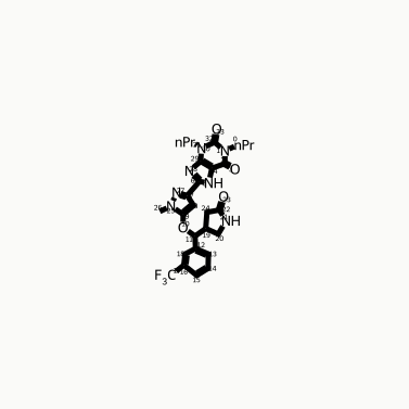 CCCn1c(=O)c2[nH]c(-c3cc(OC(c4cccc(C(F)(F)F)c4)C4CNC(=O)C4)n(C)n3)nc2n(CCC)c1=O